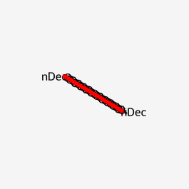 CCCCCCCCCCCCOCCOCCOCCOCCOCCOCCOCCOCCOCCOCCOCCOCCOCCOCCOCCOCCOCCOCCOCCOCCOCCCCCCCCCCCC